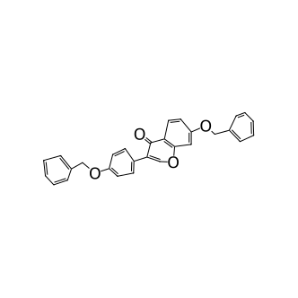 O=c1c(-c2ccc(OCc3ccccc3)cc2)coc2cc(OCc3ccccc3)ccc12